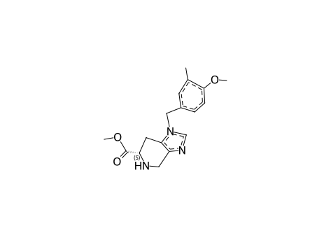 COC(=O)[C@@H]1Cc2c(ncn2Cc2ccc(OC)c(C)c2)CN1